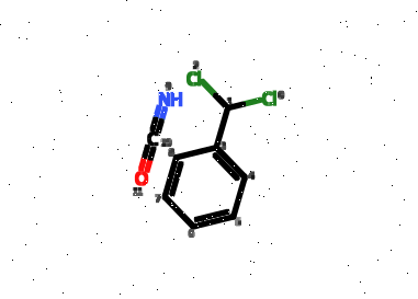 ClC(Cl)c1ccccc1.N=C=O